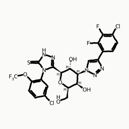 OC[C@H]1O[C@@H](c2n[nH]c(=S)n2-c2cc(Cl)ccc2OC(F)(F)F)[C@H](O)[C@@H](n2cc(-c3ccc(Cl)c(F)c3F)nn2)[C@H]1O